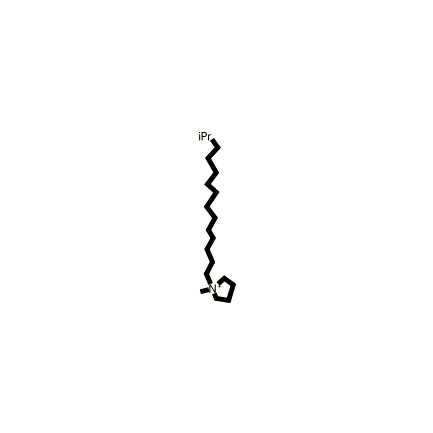 CC(C)CCCCCCCCCCCC[N+]1(C)CCCC1